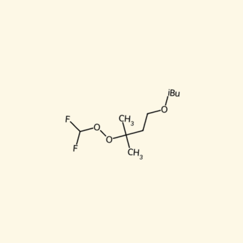 CCC(C)OCCC(C)(C)OOC(F)F